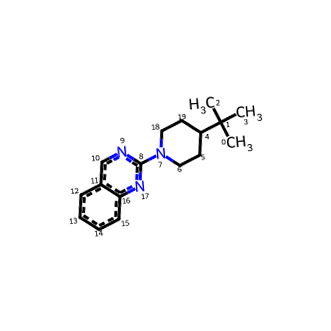 CC(C)(C)C1CCN(c2ncc3ccccc3n2)CC1